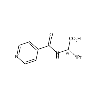 CC(C)[C@H](NC(=O)c1ccncc1)C(=O)O